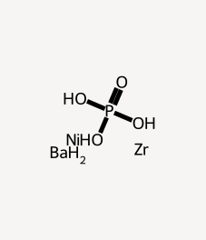 O=P(O)(O)O.[BaH2].[Ni].[Zr]